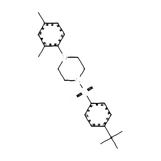 Cc1ccc(N2CCN(S(=O)(=O)c3ccc(C(C)(C)C)cc3)CC2)c(C)c1